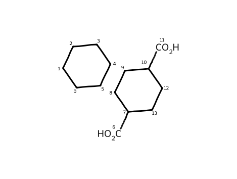 C1CCCCC1.O=C(O)C1CCC(C(=O)O)CC1